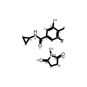 Cc1c(F)cc(C(=O)NC2CC2)cc1I.O=C1CCC(=O)N1I